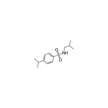 CC(C)CNS(=O)(=O)c1ccc(C(C)C)cc1